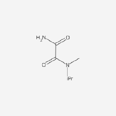 CC(C)N(C)C(=O)C(N)=O